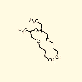 CCCCOCC(C)O.CCCCOCCCO